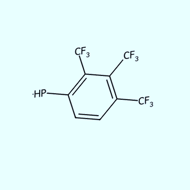 FC(F)(F)c1ccc([PH])c(C(F)(F)F)c1C(F)(F)F